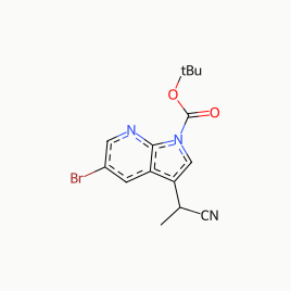 CC(C#N)c1cn(C(=O)OC(C)(C)C)c2ncc(Br)cc12